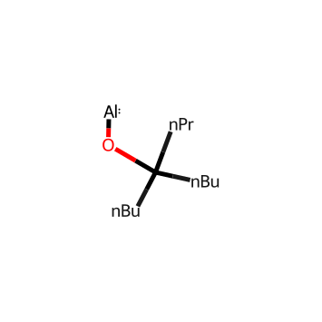 CCCCC(CCC)(CCCC)[O][Al]